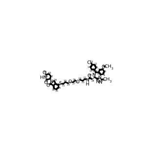 COc1ccc2c(c1)C(c1ccc(Cl)cc1)=N[C@@H](CC(=O)NCCCOCCOCCCSc1cccc3c1CN(C1CCC(=O)NC1=O)C3=O)c1nnc(C)n1-2